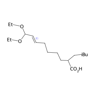 CCOC(/C=C/CCCCC(CC(C)CC)C(=O)O)OCC